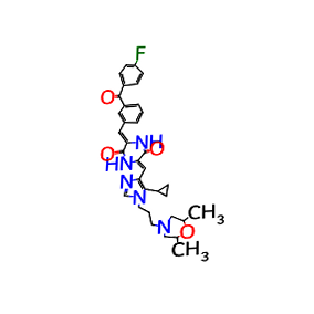 CC1CN(CCCn2cnc(/C=c3\[nH]c(=O)/c(=C/c4cccc(C(=O)c5ccc(F)cc5)c4)[nH]c3=O)c2C2CC2)CC(C)O1